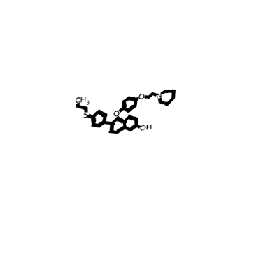 CCCSc1ccc(-c2ccc3cc(O)ccc3c2Oc2ccc(OCCN3CCCCC3)cc2)cc1